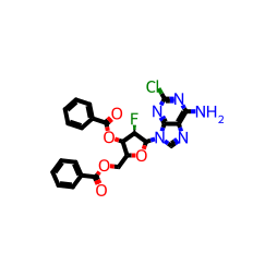 Nc1nc(Cl)nc2c1ncn2C1OC(COC(=O)c2ccccc2)C(OC(=O)c2ccccc2)[C@H]1F